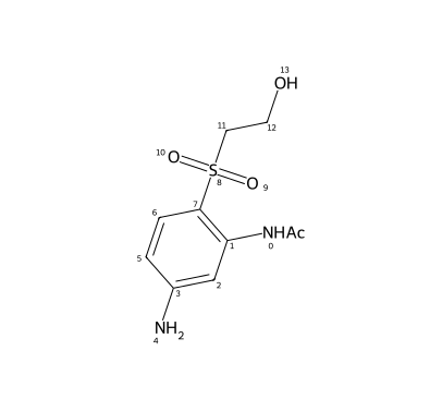 CC(=O)Nc1cc(N)ccc1S(=O)(=O)CCO